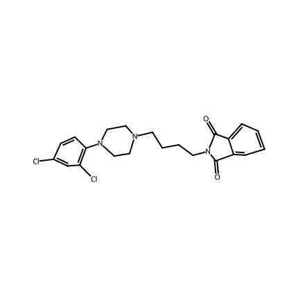 O=C1c2ccccc2C(=O)N1CCCCN1CCN(c2ccc(Cl)cc2Cl)CC1